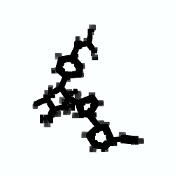 CN1CC(c2ccc(OC(F)F)cc2)[C@@](C)(c2ccc(-c3cccc(C#N)c3)s2)NC1=N